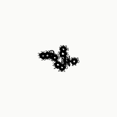 c1ccc(-c2nc(-c3ccc4ccccc4c3)nc(-c3cccc4ccc(-c5ccc6oc7cc8ccccc8cc7c6c5)cc34)n2)cc1